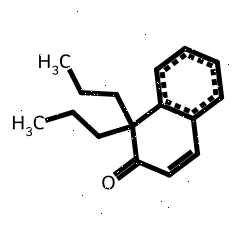 CCCC1(CCC)C(=O)C=Cc2ccccc21